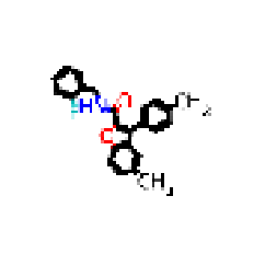 Cc1ccc(-c2c(C(=O)NCc3ccccc3F)oc3ccc(C)cc23)cc1